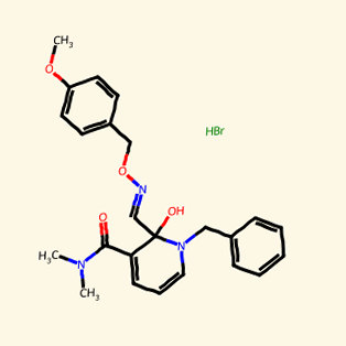 Br.COc1ccc(CON=CC2(O)C(C(=O)N(C)C)=CC=CN2Cc2ccccc2)cc1